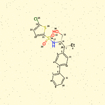 CC[C@H](c1ccc(-c2ccccc2)cc1)[C@@H](CO)NS(=O)(=O)c1ccc(Cl)s1